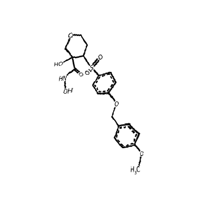 COc1ccc(COc2ccc(S(=O)(=O)C3CCOCC3(O)C(=O)NO)cc2)cc1